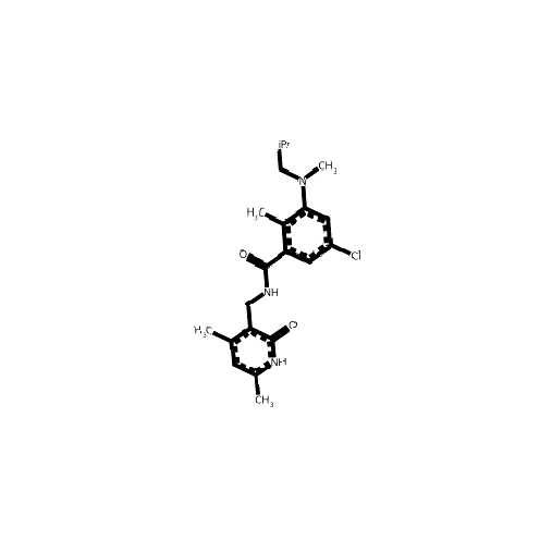 Cc1cc(C)c(CNC(=O)c2cc(Cl)cc(N(C)CC(C)C)c2C)c(=O)[nH]1